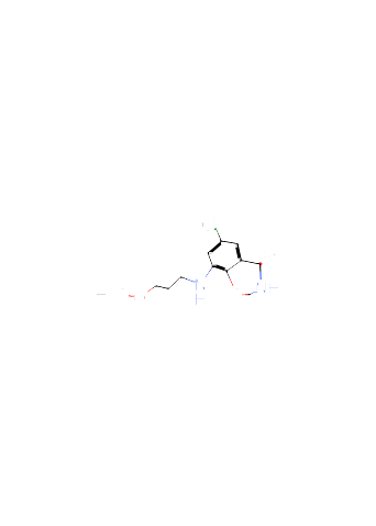 COCCCNc1cc(Cl)cc2c1OCNC2=O